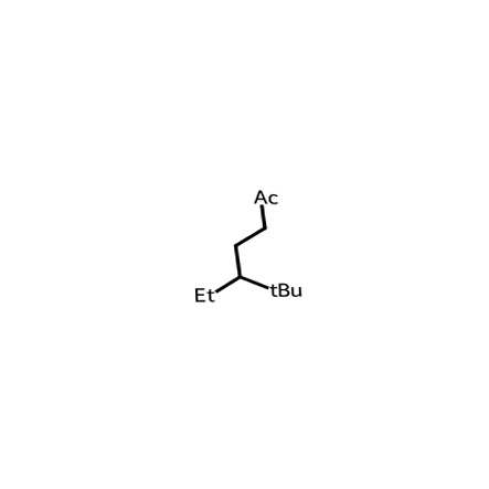 CCC(CCC(C)=O)C(C)(C)C